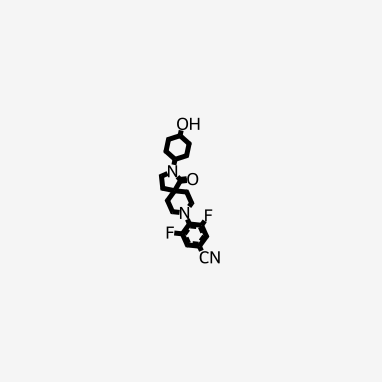 N#Cc1cc(F)c(N2CCC3(CC2)CCN(C2CCC(O)CC2)C3=O)c(F)c1